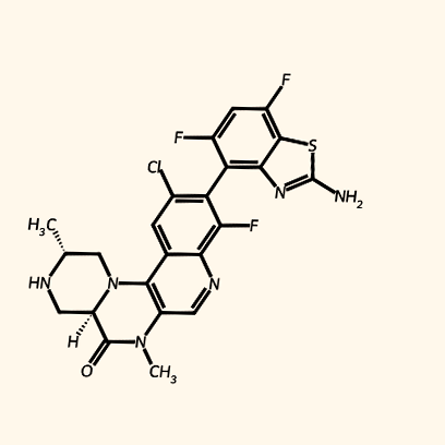 C[C@@H]1CN2c3c(cnc4c(F)c(-c5c(F)cc(F)c6sc(N)nc56)c(Cl)cc34)N(C)C(=O)[C@H]2CN1